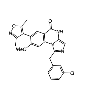 COc1cc2c(cc1-c1c(C)noc1C)c(=O)[nH]c1cnc(Cc3cccc(Cl)c3)n12